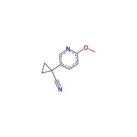 COc1ccc(C2(C#N)CC2)cn1